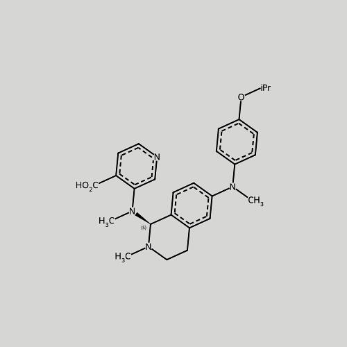 CC(C)Oc1ccc(N(C)c2ccc3c(c2)CCN(C)[C@H]3N(C)c2cnccc2C(=O)O)cc1